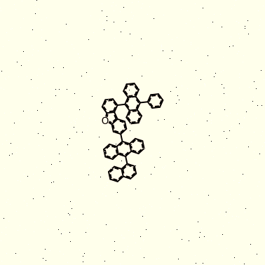 c1ccc(-c2c3ccccc3c(-c3cccc4oc5cc(-c6c7ccccc7c(-c7cccc8ccccc78)c7ccccc67)ccc5c34)c3ccccc23)cc1